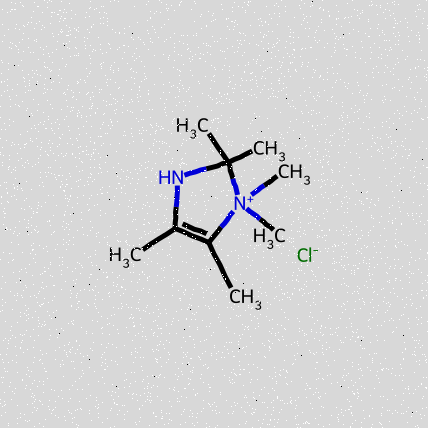 CC1=C(C)[N+](C)(C)C(C)(C)N1.[Cl-]